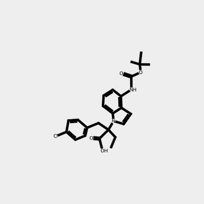 CCC(Cc1ccc(Cl)cc1)(C(=O)O)n1ccc2c(NC(=O)OC(C)(C)C)cccc21